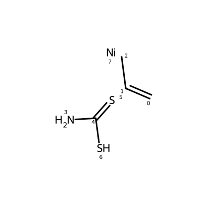 C=CC.NC(=S)S.[Ni]